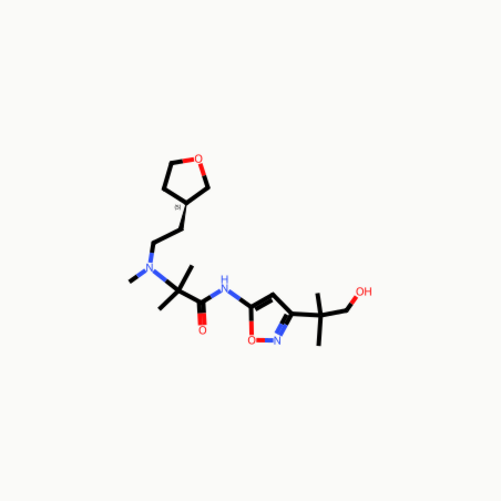 CN(CC[C@H]1CCOC1)C(C)(C)C(=O)Nc1cc(C(C)(C)CO)no1